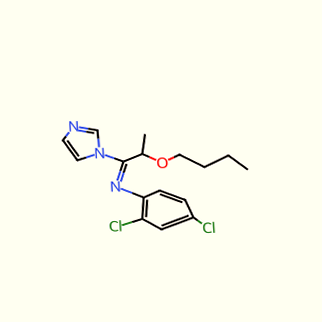 CCCCOC(C)/C(=N\c1ccc(Cl)cc1Cl)n1ccnc1